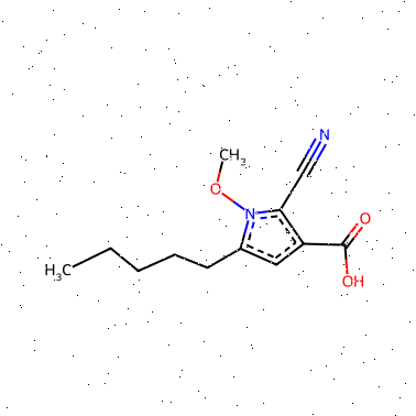 CCCCCc1cc(C(=O)O)c(C#N)n1OC